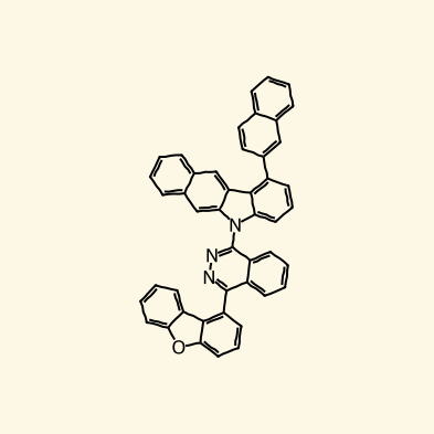 c1ccc2cc(-c3cccc4c3c3cc5ccccc5cc3n4-c3nnc(-c4cccc5oc6ccccc6c45)c4ccccc34)ccc2c1